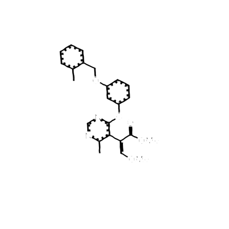 COC=C(C(=O)OC)c1c(C)ncnc1Oc1cccc(OCc2ccccc2C)c1